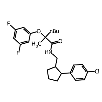 CCCCC(C)(Oc1cc(F)cc(F)c1)C(=O)NCC1CCCC1c1ccc(Cl)cc1